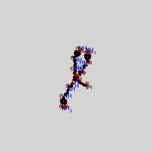 CC(C)C(=O)CCCC(=O)NC(COCCC(=O)NCCCNC(=O)c1ccc(S(N)(=O)=O)cc1)(COCCC(=O)NCCCNC(=O)c1ccc(S(N)(=O)=O)cc1)COCCC(=O)NCCCNC(=O)c1ccc(S(N)(=O)=O)cc1